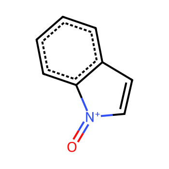 O=[N+]1C=Cc2ccccc21